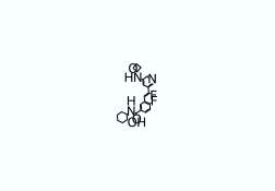 O=C(N[C@H]1CCCC[C@@H]1O)c1ccc(F)c(/C=C(\F)c2cncc(NC3CCO3)c2)c1